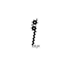 O=C(O)CCCCCCCCCCc1ccc(Oc2ccc(F)cc2)cc1